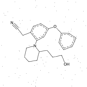 N#CCc1ccc(Oc2ccccc2)cc1N1CCCCC1CCCO